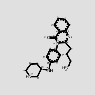 CCCCc1nc2ccccc2c(=O)n1-c1ccc(N[C@@H]2CCCNC2)cc1